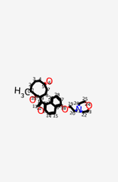 CC1CCCC(=O)CCC(c2coc3ccc4c(OCCN5CCOCC5)cccc4c23)C1=O